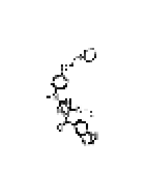 Nc1nc(Nc2ccc(OCCN3CCCC3)cc2)nn1C(=O)c1ccc2[nH]ccc2c1